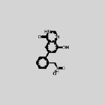 O=c1[nH]cnc2c(O)cc(-c3ccccc3C[SH](=O)=O)cc12